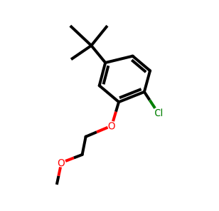 COCCOc1cc(C(C)(C)C)ccc1Cl